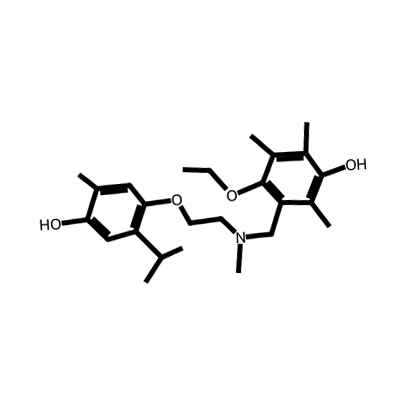 CCOc1c(C)c(C)c(O)c(C)c1CN(C)CCOc1cc(C)c(O)cc1C(C)C